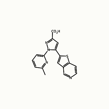 Cc1cccc(-n2nc(C(=O)O)cc2-c2cc3cnccc3s2)n1